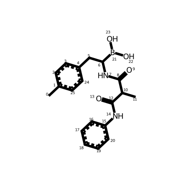 Cc1ccc(CC(NC(=O)C(C)C(=O)Nc2ccccc2)B(O)O)cc1